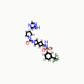 O=C(N1CC[C@H](c2ncn[nH]2)C1)N1CC2(CC(NS(=O)(=O)c3cccc(C(F)(F)F)c3)C2)C1